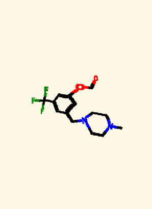 CN1CCN(Cc2cc(OC=O)cc(C(F)(F)F)c2)CC1